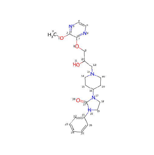 COc1nccnc1OCC(O)CN1CCC(N2CCN(c3ccccc3)C2=O)CC1